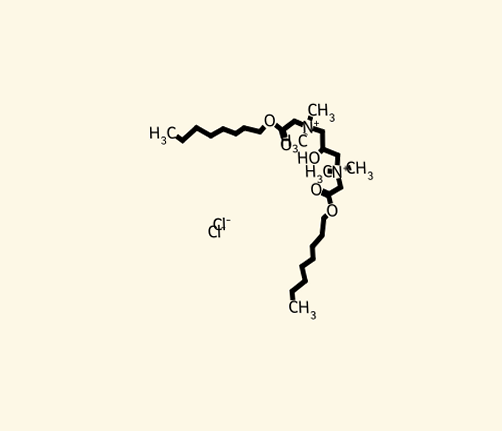 CCCCCCCCOC(=O)C[N+](C)(C)CC(O)C[N+](C)(C)CC(=O)OCCCCCCCC.[Cl-].[Cl-]